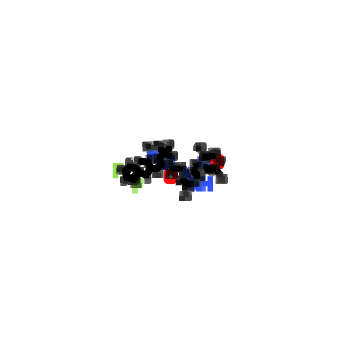 C=C1C(Cc2ccc(F)cc2F)=CC2=C(N1C)C(C)(C)CN2C(=O)CN1C[C@@H](C)NC[C@@H]1CN1C[C@H](C)OC[C@H]1C